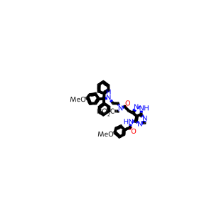 COc1ccc(C(=O)Nc2ncnc3[nH]nc(CC(=O)N(CCNC(c4ccccc4)(c4ccccc4)c4ccc(OC)cc4)CC(=O)O)c23)cc1